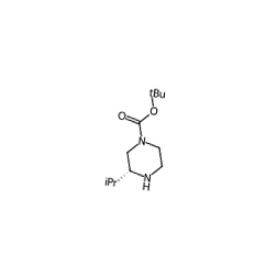 CC(C)[C@@H]1CN(C(=O)OC(C)(C)C)CCN1